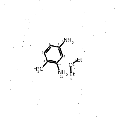 CCOCC.Cc1ccc(N)cc1N